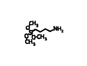 CO[Si](CCCCN)(OC)OC